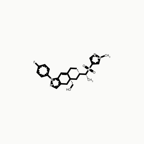 C[C@H]([C@H]1CCC2=Cc3c(cnn3-c3ccc(F)cc3)C[C@]2(CO)C1)S(=O)(=O)c1cnn(C)c1